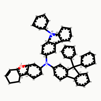 C1=Cc2oc3cc(N(c4ccc5c(c4)C(c4ccccc4)(c4ccccc4)c4ccccc4-5)c4ccc5c(c4)c4ccccc4n5-c4ccccc4)ccc3c2CC1